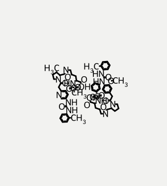 COc1cc(CC(=O)N2CCCC2C2=NCC(CC(NS(=O)(=O)c3ccccc3)C(=O)O)O2)ccc1NC(=O)Nc1ccccc1C.Cc1ccccc1NC(=O)Nc1ccc(CC(=O)N2CCC(C)C2C2=NCC(CC(NS(C)(=O)=O)C(=O)O)O2)nc1